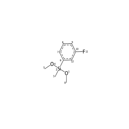 CO[Si](C)(OC)c1cccc(F)c1